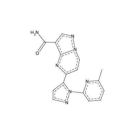 Cc1cccc(-n2nccc2-c2ccn3ncc(C(N)=O)c3n2)n1